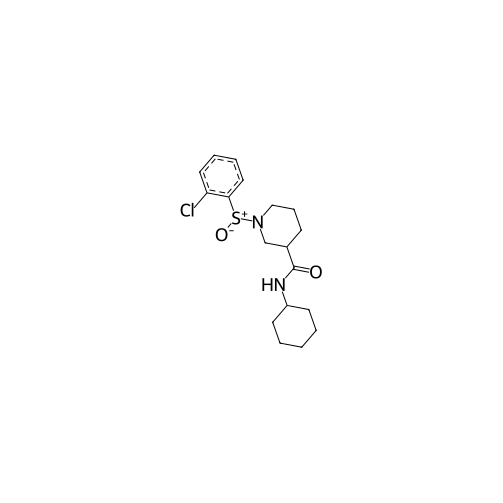 O=C(NC1CCCCC1)C1CCCN([S+]([O-])c2ccccc2Cl)C1